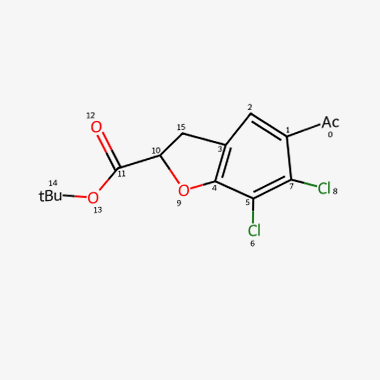 CC(=O)c1cc2c(c(Cl)c1Cl)OC(C(=O)OC(C)(C)C)C2